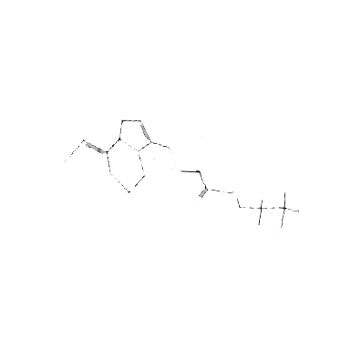 C[C@H](OCC(=O)NCC(F)(F)C(F)(F)F)C1=CCC2/C(=C/Br)CCC[C@]12C